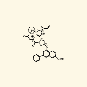 C=CC1C[C@]1(NC(=O)[C@@H]1C[C@@H](Oc2cc(-c3ccccc3)nc3cc(OC)ccc23)CN1C(=O)[C@@H](CC(=O)N1CCCCC1)C(C)(C)C)C(=O)O